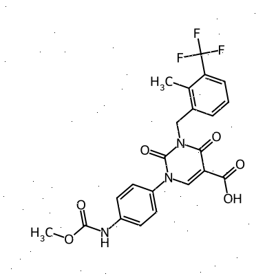 COC(=O)Nc1ccc(-n2cc(C(=O)O)c(=O)n(Cc3cccc(C(F)(F)F)c3C)c2=O)cc1